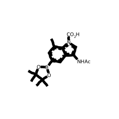 CC(=O)Nc1cn(C(=O)O)c2c(C)cc(B3OC(C)(C)C(C)(C)O3)cc12